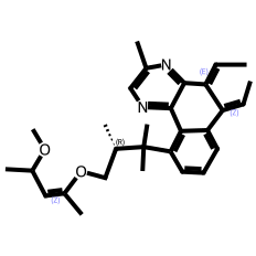 C/C=c1\c(=C/C)c2nc(C)cnc2c2c(C(C)(C)[C@@H](C)CO/C(C)=C\C(C)OC)cccc12